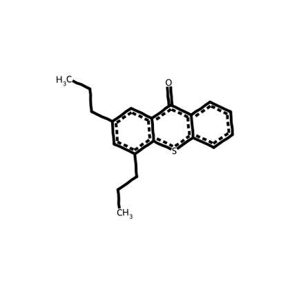 CCCc1cc(CCC)c2sc3ccccc3c(=O)c2c1